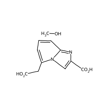 CO.O=C(O)Cc1cccc2nc(C(=O)O)cn12